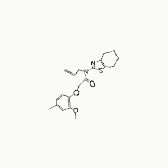 C=CCN(C(=O)COc1ccc(C)cc1OC)c1nc2c(s1)CCCC2